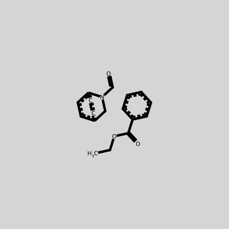 CCOC(=O)c1ccccc1.O=CN1Cc2ccc1cc2